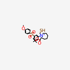 COc1ccc(S(=O)(=O)c2cccc([N+]3(CS)CCCCCC3C(=O)OC(C)(C)C)c2)cc1